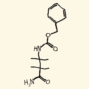 CC(C)(NC(=O)OCc1ccccc1)C(C)(C)C(N)=O